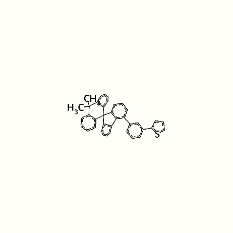 CC1(C)c2ccccc2C2(c3ccccc3-c3c(-c4cccc(-c5cccs5)c4)cccc32)c2ccccc21